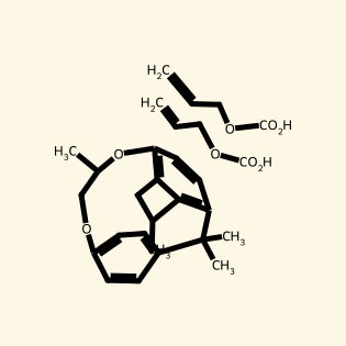 C=CCOC(=O)O.C=CCOC(=O)O.CC1COc2ccc(cc2)C(C)(C)c2ccc(c3c2C(C)C3)O1